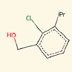 [CH2]C(C)c1cccc(CO)c1Cl